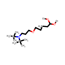 CCOC(C[SiH2]CCOCCCN([Si](C)(C)C)[Si](C)(C)C)OCC